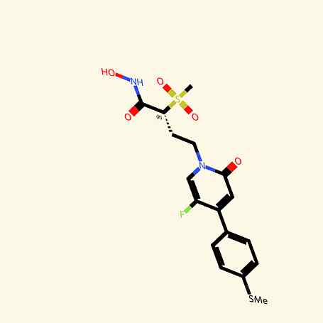 CSc1ccc(-c2cc(=O)n(CC[C@H](C(=O)NO)S(C)(=O)=O)cc2F)cc1